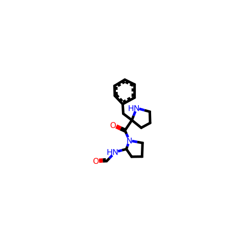 O=CNC1CCCN1C(=O)C1(Cc2ccccc2)CCCN1